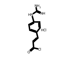 Cl.N=C(N)Nc1ccc(C=CC(=O)Cl)cc1